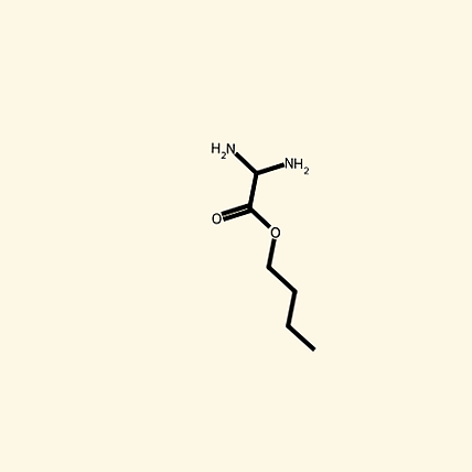 CCCCOC(=O)C(N)N